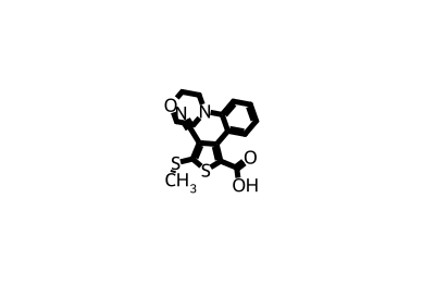 CSc1sc(C(=O)O)c(-c2ccccc2N2CCOCC2)c1C#N